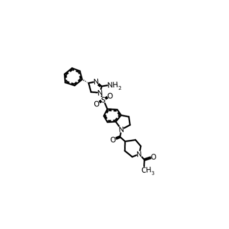 CC(=O)N1CCC(C(=O)N2CCc3cc(S(=O)(=O)N4C[C@H](c5ccccc5)N=C4N)ccc32)CC1